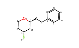 F[C@H]1CCO[C@@H](CCc2ccccc2)C1